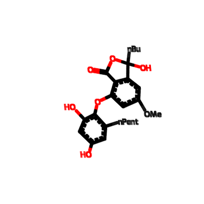 CCCCCc1cc(O)cc(O)c1Oc1cc(OC)cc2c1C(=O)OC2(O)CCCC